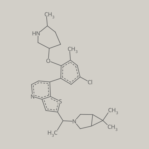 Cc1cc(Cl)cc(-c2ccnc3cc(C(C)N4CC5C(C4)C5(C)C)sc23)c1OC1CCC(C)NC1